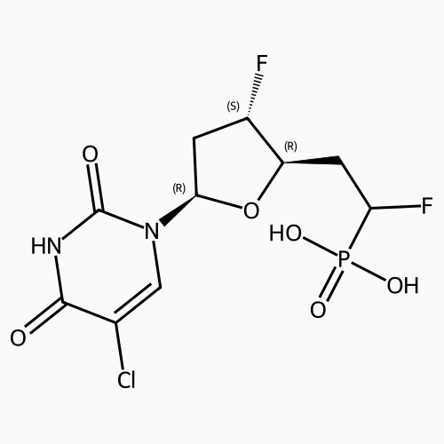 O=c1[nH]c(=O)n([C@H]2C[C@H](F)[C@@H](CC(F)P(=O)(O)O)O2)cc1Cl